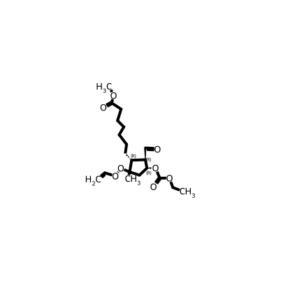 C=COOC1(C)C[C@@H](OC(=O)OCC)[C@H](C=O)[C@H]1CCCCCCC(=O)OC